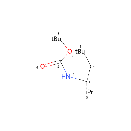 CC(C)C(CC(C)(C)C)NC(=O)OC(C)(C)C